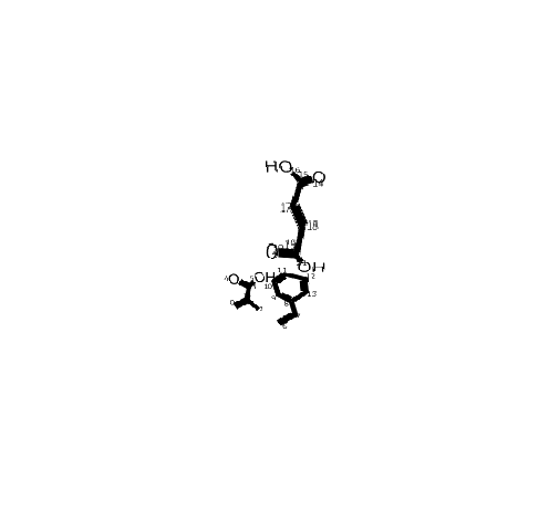 C=C(C)C(=O)O.C=Cc1ccccc1.O=C(O)C=CC(=O)O